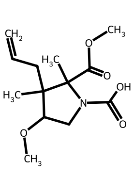 C=CCC1(C)C(OC)CN(C(=O)O)C1(C)C(=O)OC